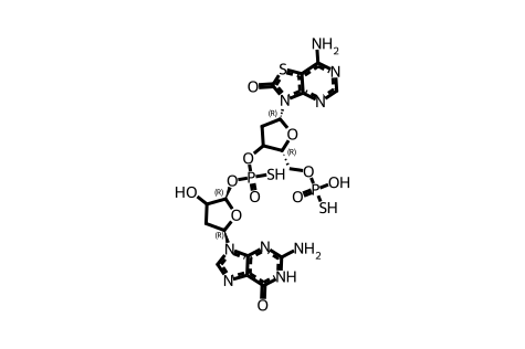 Nc1nc2c(ncn2[C@H]2CC(O)[C@@H](OP(=O)(S)OC3C[C@H](n4c(=O)sc5c(N)ncnc54)O[C@@H]3COP(=O)(O)S)O2)c(=O)[nH]1